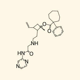 C=CC1C[C@](C)(OC(=O)C2(c3ccccc3)CCCCCC2)C1CCNCC(=O)Nc1cnccn1